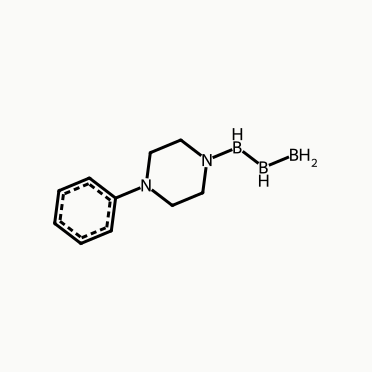 BBBN1CCN(c2ccccc2)CC1